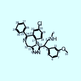 CNCC(c1cccc(OC)c1)c1nnc2n1-c1ccc(Cl)cc1C(c1ccccc1)=NC2